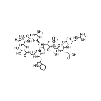 CC(=O)[C@H](CCCNC(=N)N)NC(=O)[C@H](CCC(=O)O)NC(=O)[C@H](CS)NC(=O)[C@H](CC(C)C)NC(=O)[C@@H](CCCNC(=N)N)NC(=O)[C@H](Cc1c[nH]c2ccccc12)NC(=O)CNC(=O)[C@@H](NC(=O)[C@@H](NC(=O)CN)C(C)C)[C@@H](C)O